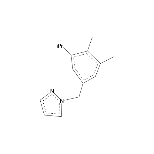 Cc1cc(Cn2cccn2)cc(C(C)C)c1C